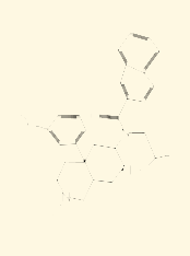 COc1cccc(C23CCN(C)CC2CCC(N(CC(C)C)C(=O)c2ccc4ccccc4c2)C3)c1